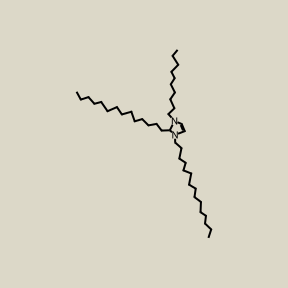 CCCCCCCCCCCCCCCN1C=CN(CCCCCCCCCC)C1CCCCCCCCCCCCCC